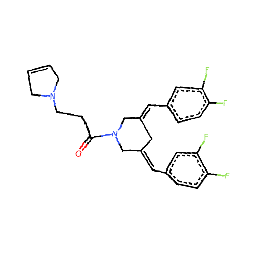 O=C(CCN1CC=CC1)N1C/C(=C/c2ccc(F)c(F)c2)C/C(=C\c2ccc(F)c(F)c2)C1